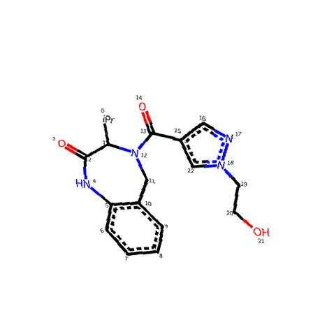 CC(C)C1C(=O)Nc2ccccc2CN1C(=O)c1cnn(CCO)c1